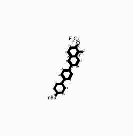 CCCCC1CCC(c2ccc(-c3ccc4c(F)c(OC(F)(F)F)ccc4c3)cc2)CC1